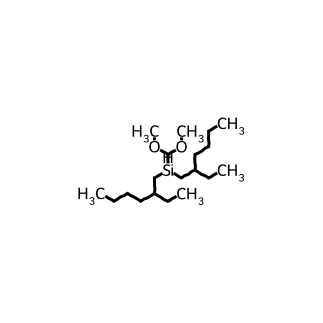 CCCCC(CC)C[SiH](CC(CC)CCCC)C(OC)OC